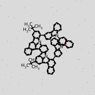 CC(C)(C)c1cc(-c2ccc3c(c2)c2ccccc2n3-c2ccccc2)c2c(c1)c1cc3ccccc3c3c4c5c6cc(C(C)(C)C)cc7c8c9ccccc9cc(-c9ccc%10c(c9)c9ccccc9n%10-c9ccccc9)c8n(c5ccc4n2c13)c67